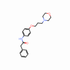 O=C(Cc1ccccc1)Nc1ccc(OCCCN2CCOCC2)cc1